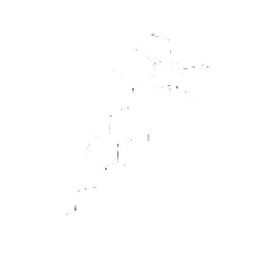 COCCCN1CCC(COC(=O)c2cc(Cl)c(N)c3c2OCC3)C(O)C1